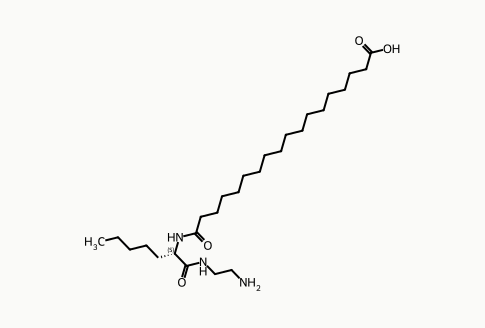 CCCCC[C@H](NC(=O)CCCCCCCCCCCCCCCCC(=O)O)C(=O)NCCN